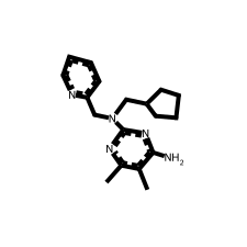 Cc1nc(N(Cc2ccccn2)CC2CCCC2)nc(N)c1C